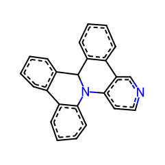 c1ccc2c(c1)-c1ccccc1N1c3ccncc3-c3ccccc3C21